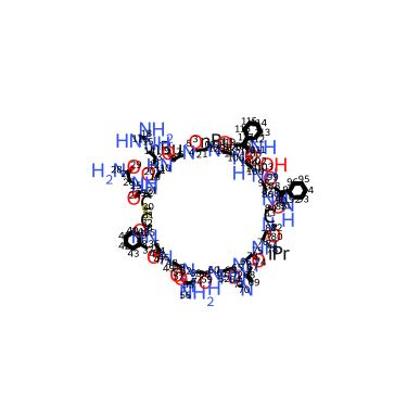 CCCC[C@H]1C(=O)N(C)[C@@H](CCCC)C(=O)N[C@@H](CCCNC(=N)N)C(=O)N[C@H](C(=O)NCC(N)=O)CSCC(=O)N[C@@H](Cc2ccccc2)C(=O)N(C)[C@@H](C)C(=O)N[C@@H](CC(N)=O)C(=O)N[C@@H](C)C(=O)N[C@@H](Cc2cnc[nH]2)C(=O)N[C@@H](CC(C)C)C(=O)N(C)CC(=O)N[C@@H](Cc2c[nH]c3ccccc23)C(=O)N[C@@H](CO)C(=O)N[C@@H](Cc2c[nH]c3ccccc23)C(=O)N1C